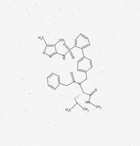 CNC(=O)[C@H](CC(C)C)N(Cc1ccc(-c2ccccc2S(=O)(=O)Nc2noc(C)c2C)cc1)C(=O)Cc1ccccc1